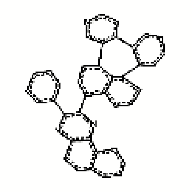 c1ccc(-c2nc3ccc4ccccc4c3nc2-c2ccc3c4c(cccc24)-c2ccccc2-c2ccncc2-3)cc1